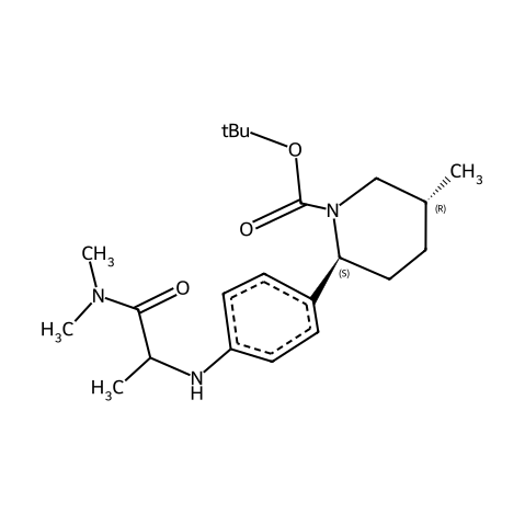 CC(Nc1ccc([C@@H]2CC[C@@H](C)CN2C(=O)OC(C)(C)C)cc1)C(=O)N(C)C